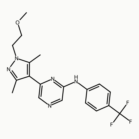 COCCn1nc(C)c(-c2cncc(Nc3ccc(C(F)(F)F)cc3)n2)c1C